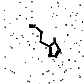 O=COCc1nnn[nH]1